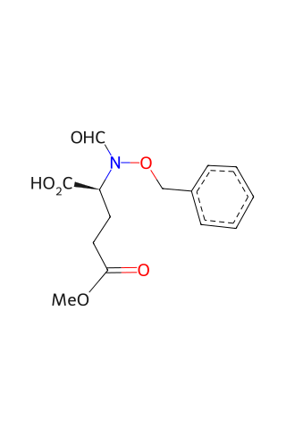 COC(=O)CC[C@@H](C(=O)O)N(C=O)OCc1ccccc1